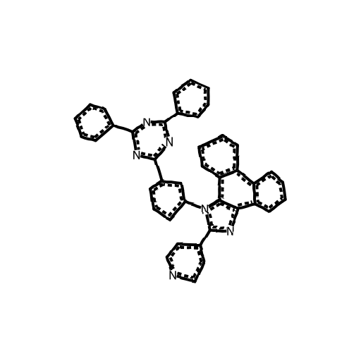 c1ccc(-c2nc(-c3ccccc3)nc(-c3cccc(-n4c(-c5ccncc5)nc5c6ccccc6c6ccccc6c54)c3)n2)cc1